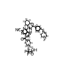 CN1CCN(Cc2ccc(C(=O)NN(c3nc(C#N)nc4c3ncn4C(=O)N3CCN(C)CC3)C3CCCCC3)cc2)CC1.O=C(O)C(F)(F)F